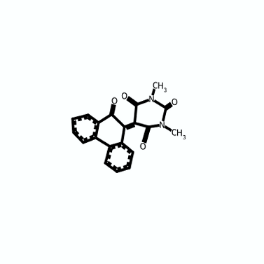 CN1C(=O)C(=C2C(=O)c3ccccc3-c3ccccc32)C(=O)N(C)C1=O